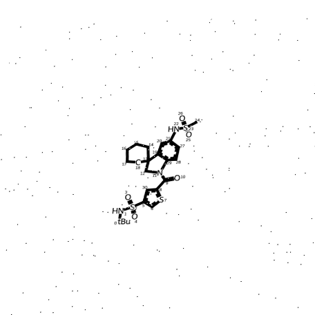 CC(C)(C)NS(=O)(=O)c1csc(C(=O)N2CC3(CCCCC3)c3cc(NS(C)(=O)=O)ccc32)c1